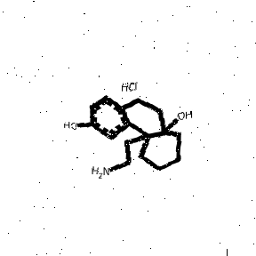 Cl.NCCC12CCCCC1(O)CCc1ccc(O)cc12